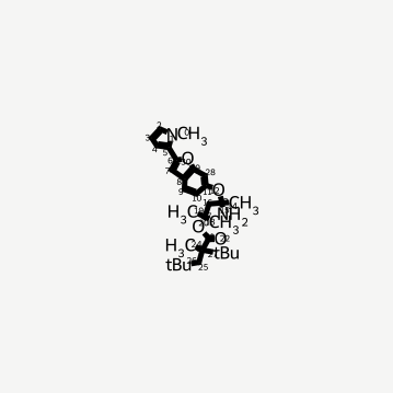 Cn1cccc1-c1cc2ccc(OC(C)(N)CC(C)(C)OC(=O)C(C)(CC(C)(C)C)C(C)(C)C)cc2o1